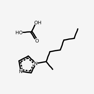 CCCCCC(C)n1ccnc1.O=C(O)O